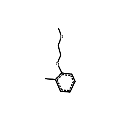 COCCOc1ccccc1C